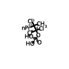 CCCC(C)(Cl)C(Cl)(Cl)OP(=O)(O)O